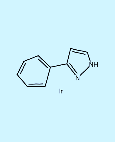 [Ir].c1ccc(-c2cc[nH]n2)cc1